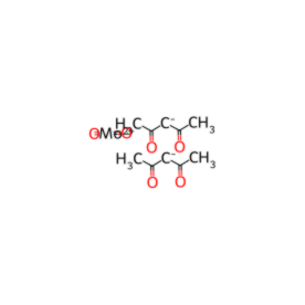 CC(=O)[CH-]C(C)=O.CC(=O)[CH-]C(C)=O.[O]=[Mo+2]=[O]